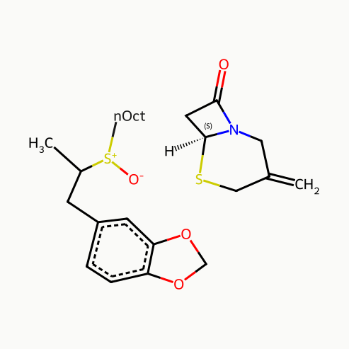 C=C1CS[C@H]2CC(=O)N2C1.CCCCCCCC[S+]([O-])C(C)Cc1ccc2c(c1)OCO2